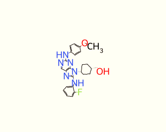 COc1ccc(Nc2ncc3nc(Nc4ccccc4F)n([C@H]4CC[C@@H](CO)CC4)c3n2)cc1